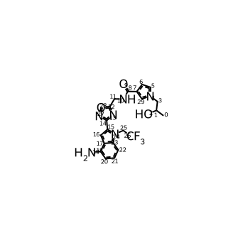 CC(O)Cn1ccc(C(=O)NCc2nc(-c3cc4c(N)cccc4n3CC(F)(F)F)no2)c1